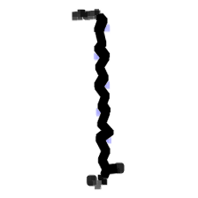 CCCCC/C=C/C/C=C/C/C=C/C/C=C/C/C=C/CCC(=O)[N+](=O)[O-]